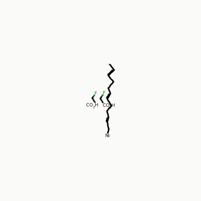 O=C(O)CF.O=C(O)CF.[CH2]C=CCCC=CCCC=C[CH2][Ni]